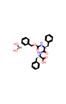 O=C(N[C@@H](Cc1ccccc1)C(=O)N[C@@H](Cc1ccccc1)C(=O)O)OCc1ccccc1.OBO